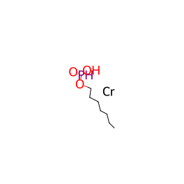 CCCCCCCO[PH](=O)O.[Cr]